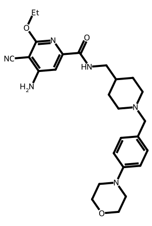 CCOc1nc(C(=O)NCC2CCN(Cc3ccc(N4CCOCC4)cc3)CC2)cc(N)c1C#N